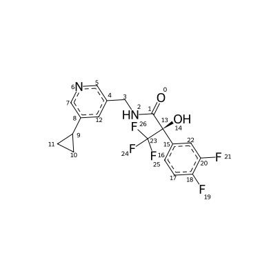 O=C(NCc1cncc(C2CC2)c1)[C@](O)(c1ccc(F)c(F)c1)C(F)(F)F